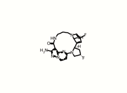 Nc1nn2ccc3nc2c1C(=O)NCCCN1C=C(F)C=C(C1O)[C@H]1C[C@H](F)CN31